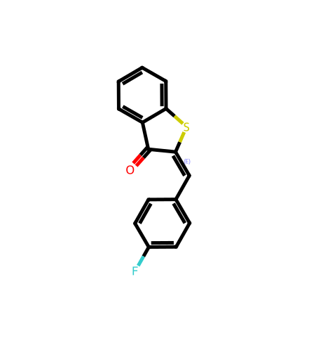 O=C1/C(=C\c2ccc(F)cc2)Sc2ccccc21